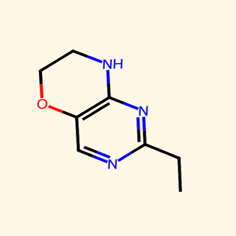 CCc1ncc2c(n1)NCCO2